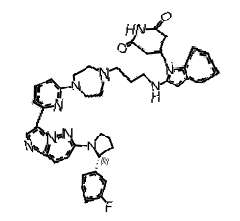 O=C1CC(n2c(NCCCN3CCN(c4cccc(-c5cnc6ccc(N7CCC[C@@H]7c7cccc(F)c7)nn56)n4)CC3)cc3ccccc32)CC(=O)N1